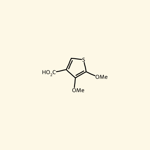 COc1scc(C(=O)O)c1OC